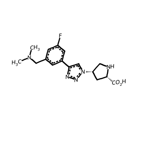 CN(C)Cc1cc(F)cc(-c2cn([C@@H]3CN[C@H](C(=O)O)C3)nn2)c1